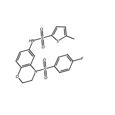 Cc1ccc(S(=O)(=O)Nc2ccc3c(c2)N(S(=O)(=O)c2ccc(F)cc2)CCO3)s1